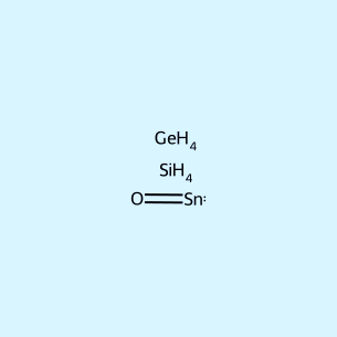 [GeH4].[O]=[Sn].[SiH4]